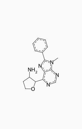 Cn1c(-c2ccccc2)nc2c(C3OCCC3N)ncnc21